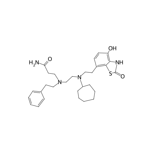 NC(=O)CCN(CCc1ccccc1)CCN(CCc1ccc(O)c2[nH]c(=O)sc12)C1CCCCCC1